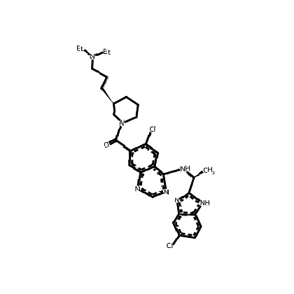 CCN(CC)CCC[C@H]1CCCN(C(=O)c2cc3ncnc(N[C@@H](C)c4nc5cc(Cl)ccc5[nH]4)c3cc2Cl)C1